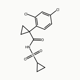 O=C(NS(=O)(=O)C1CC1)C1(c2ccc(Cl)cc2Cl)CC1